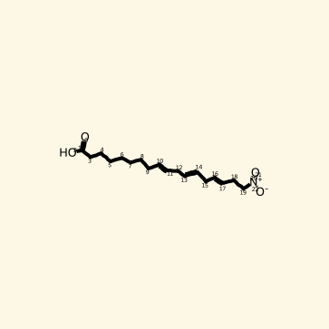 O=C(O)CCCCCCCC=CCC=CCC=CCC[N+](=O)[O-]